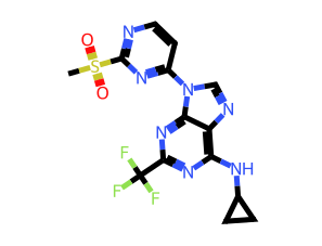 CS(=O)(=O)c1nccc(-n2cnc3c(NC4CC4)nc(C(F)(F)F)nc32)n1